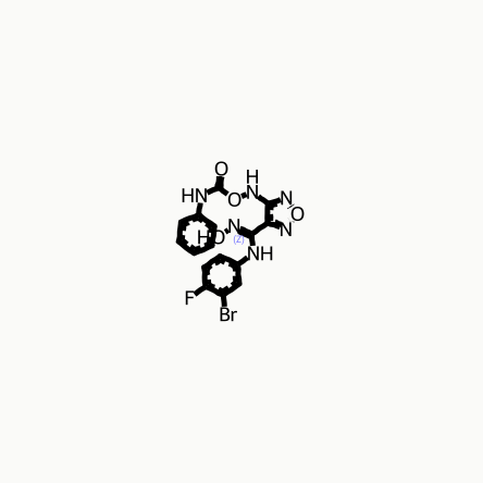 O=C(Nc1ccccc1)ONc1nonc1/C(=N/O)Nc1ccc(F)c(Br)c1